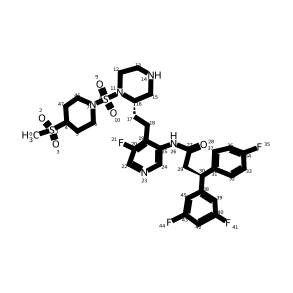 CS(=O)(=O)C1CCN(S(=O)(=O)N2CCNC[C@@H]2CCc2c(F)cncc2NC(=O)C[C@@H](c2ccc(F)cc2)c2cc(F)cc(F)c2)CC1